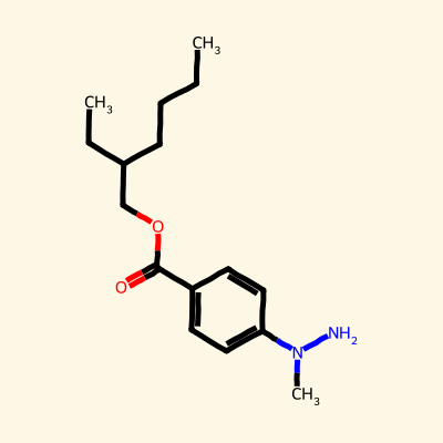 CCCCC(CC)COC(=O)c1ccc(N(C)N)cc1